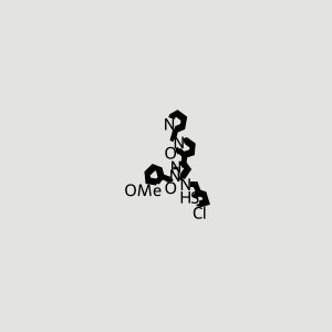 COc1ccccc1C(=O)n1nc(-c2cccn(Cc3ccccn3)c2=O)cc1NCc1ccc(Cl)s1